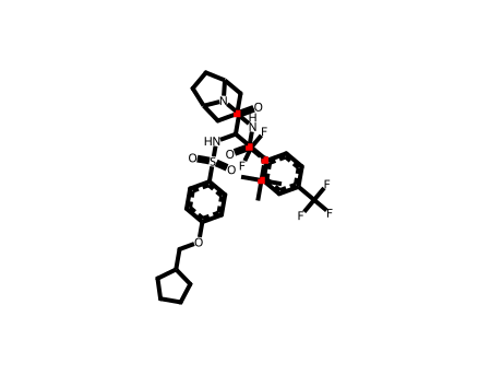 CC(C)(C)OC(=O)NC1CC2CCC(C1)N2C(=O)C(NS(=O)(=O)c1ccc(OCC2CCCC2)cc1)C(F)(F)c1ccc(C(F)(F)F)cc1